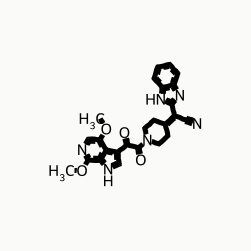 COc1ncc(OC)c2c(C(=O)C(=O)N3CCC(=C(C#N)c4nc5ccccc5[nH]4)CC3)c[nH]c12